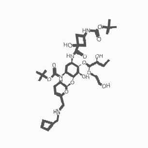 CC[C@@H](O)[C@H](OCCO)O[C@@H]1[C@@H](O)[C@H](O[C@@H]2CCC=C(CNCC3CCC3)O2)[C@@H](NC(=O)OC(C)(C)C)C[C@H]1NC(=O)C1(O)CC(NC(=O)OC(C)(C)C)C1